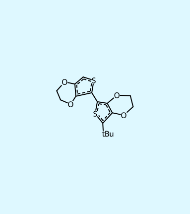 CC(C)(C)c1sc(-c2scc3c2OCCO3)c2c1OCCO2